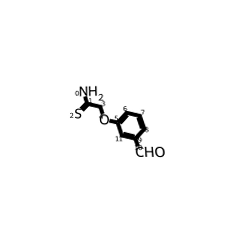 NC(=S)COc1cccc(C=O)c1